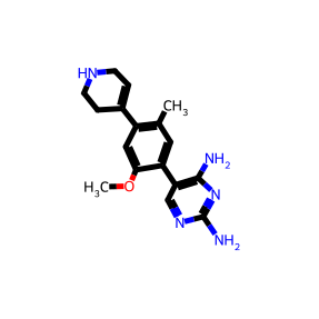 COc1cc(C2=CCNCC2)c(C)cc1-c1cnc(N)nc1N